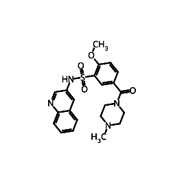 COc1ccc(C(=O)N2CCN(C)CC2)cc1S(=O)(=O)Nc1cnc2ccccc2c1